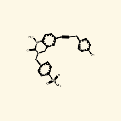 CN1C(=O)N(Cc2ccc(S(C)(=O)=O)cc2)Cc2cc(C#CCc3ccc(Cl)cc3)ccc21